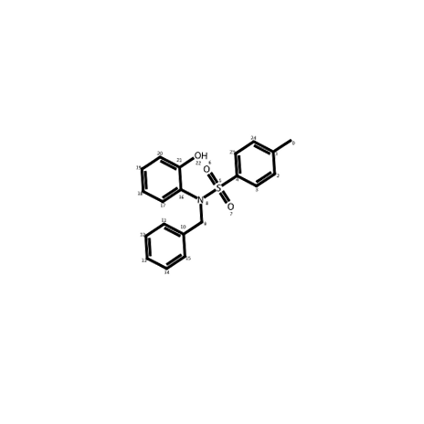 Cc1ccc(S(=O)(=O)N(Cc2ccccc2)c2ccccc2O)cc1